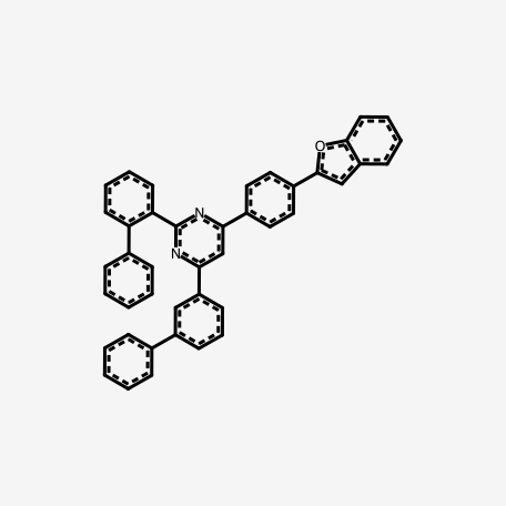 c1ccc(-c2cccc(-c3cc(-c4ccc(-c5cc6ccccc6o5)cc4)nc(-c4ccccc4-c4ccccc4)n3)c2)cc1